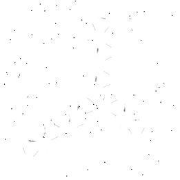 c1ccc2c(c1)oc1cc(-c3ccc(N(c4ccc5cc(-c6cc7oc8ccccc8c7cn6)ccc5c4)c4ccc5c(c4)oc4ccccc45)cc3)ccc12